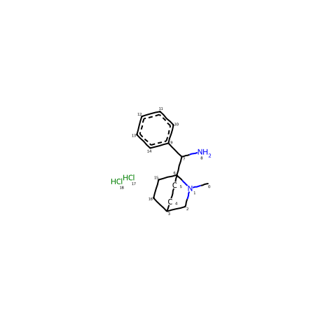 CN1CC2CCC1(C(N)c1ccccc1)CC2.Cl.Cl